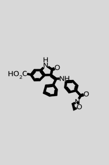 O=C1Nc2cc(C(=O)O)ccc2C1=C(Nc1ccc(C(=O)N2CCO2)cc1)c1ccccc1